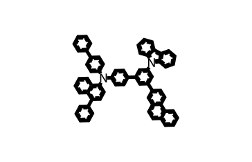 c1ccc(-c2ccc(N(c3ccc(-c4cc(-c5ccc6c(ccc7ccccc76)c5)cc(-n5c6ccccc6c6ccccc65)c4)cc3)c3ccc(-c4ccccc4)c4ccccc34)cc2)cc1